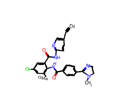 C#Cc1ccc(NC(=O)c2cc(Cl)cc(OC)c2NC(=O)c2ccc(C3=NCCN3C)cc2)nc1